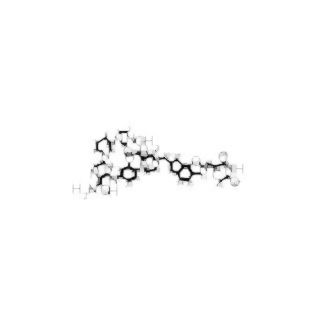 CN1CCN([C@@H]2CCCN(c3cnc(C(N)=O)c(Nc4ccc5c(c4)OC[C@H]4CN(CC6Cc7ccc8c(c7C6)ON(CC6CCC(=O)NC6=O)C8)CCN54)n3)C2)C1=O